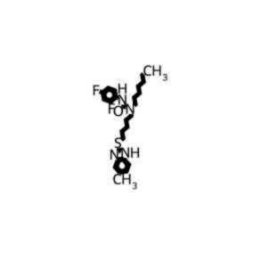 CCCCCCCN(CCCCCSc1nc2cc(C)ccc2[nH]1)C(=O)Nc1ccc(F)cc1F